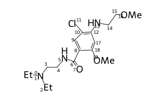 CCN(CC)CCNC(=O)c1cc(Cl)c(NCCOC)cc1OC